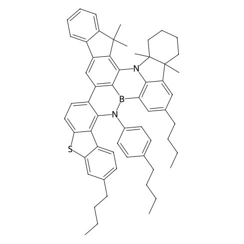 CCCCc1ccc(N2B3c4cc(CCCC)cc5c4N(c4c3c(cc3c4C(C)(C)c4ccccc4-3)-c3ccc4sc6cc(CCCC)ccc6c4c32)C2(C)CCCCC52C)cc1